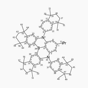 CC(C)c1cc2c3c(c1)N(c1ccc4c(c1)C(C)(C)CCC4(C)C)c1cc4c(cc1B3c1cc3c(cc1N2c1ccc2c(c1)C(C)(C)CCC2(C)C)C(C)(C)CCC3(C)C)C(C)(C)CCC4(C)C